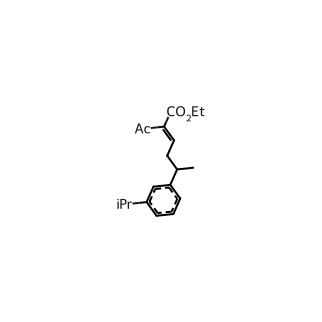 CCOC(=O)/C(=C/CC(C)c1cccc(C(C)C)c1)C(C)=O